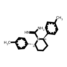 Cc1ccc([C@H]2CCC[C@H](c3ccc(C)cc3)N2C(=N)N)cc1